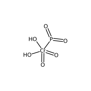 O=[P](=O)[Cr](=[O])(=[O])([OH])[OH]